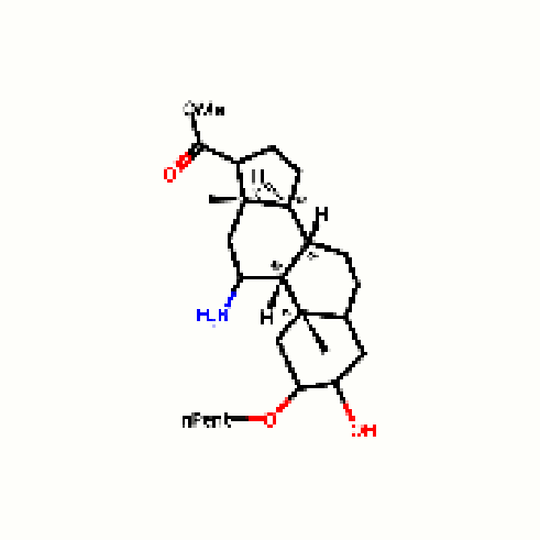 CCCCCOC1C[C@@]2(C)C(CC[C@@H]3[C@H]2C(N)C[C@]2(C)C(C(=O)OC)CC[C@@H]32)CC1O